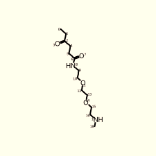 CCC(=O)CCC(=O)NCCOCCOCCNC